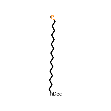 CCCCCCCCCCCCCCCCCCCCCCCCCC[P]